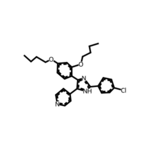 CCCCOc1ccc(-c2nc(-c3ccc(Cl)cc3)[nH]c2-c2ccncc2)c(OCCCC)c1